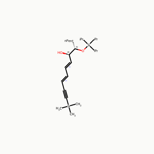 CCCCC[C@H](O[Si](C(C)C)(C(C)C)C(C)C)[C@H](O)/C=C/C=C/C#C[Si](C)(C)C